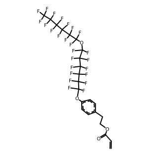 C=CC(=O)OCCc1ccc(OC(F)(F)C(F)(F)C(F)(F)C(F)(F)C(F)(F)C(F)(F)OC(F)(F)C(F)(F)C(F)(F)C(F)(F)C(F)(F)C(F)(F)F)cc1